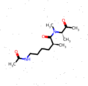 CC(=O)NCCCC[C@H](C)C(=O)N(C)[C@@H](C)C(C)=O